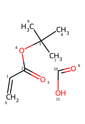 C=CC(=O)OC(C)(C)C.O=CO